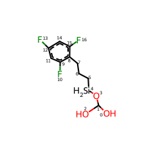 OC(O)O[SiH2]CCCc1c(F)cc(F)cc1F